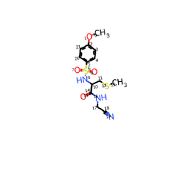 COc1ccc(S(=O)(=O)NC(CSC)C(=O)NCC#N)cc1